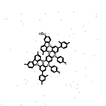 CCCCc1ccc2c(c1)c1ccc(C)c3c1n2-c1cc(-c2ccc(C)cc2C)cc2c1B3c1cc3c(cc1N2c1ccc(I)cc1)N(c1ccc(I)cc1)c1cc(-c2ccc(C)cc2C)cc2c1B3c1cc(C)cc3c4cc(C)ccc4n-2c13